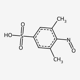 Cc1cc(S(=O)(=O)O)cc(C)c1N=O